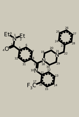 CCN(CC)C(=O)c1ccc(C(=Nc2ccccc2C(F)(F)F)N2CCN(Cc3ccccc3)CC2)cc1